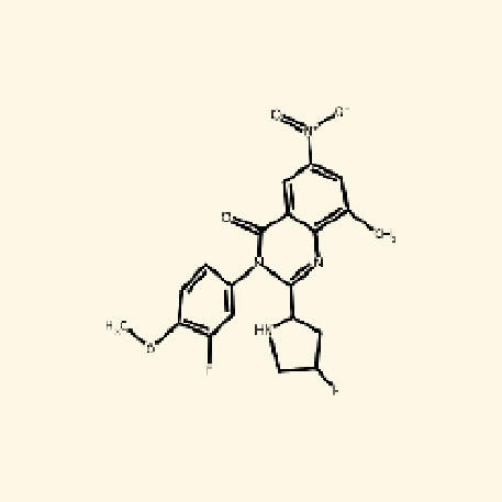 COc1ccc(-n2c(C3CC(F)CN3)nc3c(C)cc([N+](=O)[O-])cc3c2=O)cc1F